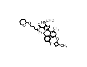 CCN(CCCOC1CCCCO1)C(=O)c1c(NC=O)nc(-c2ccc(OC3CCC3C)nc2C(F)(F)F)n1Cc1ccc(F)cc1